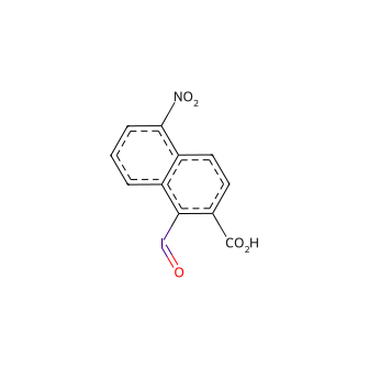 O=Ic1c(C(=O)O)ccc2c([N+](=O)[O-])cccc12